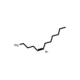 CCCCCC/C=C\CC[CH2][Mg+].[Br-]